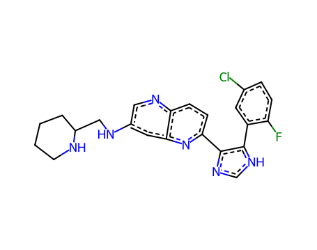 Fc1ccc(Cl)cc1-c1[nH]cnc1-c1ccc2ncc(NCC3CCCCN3)cc2n1